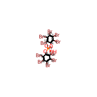 O=P(O)(Oc1c(Br)c(Br)c(Br)c(Br)c1Br)Oc1c(Br)c(Br)c(Br)c(Br)c1Br